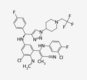 C=Nc1c(Cl)cc(N[C@@H](c2ccc(F)cc2)c2cn(C3CCN(CC(F)(F)F)CC3)nn2)cc1/C(Nc1ccc(F)c(Cl)c1)=C(\C)C#N